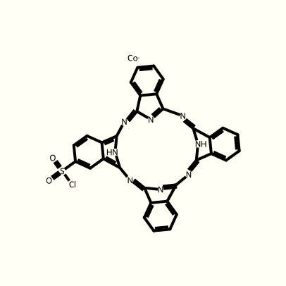 O=S(=O)(Cl)c1ccc2c3nc4nc(nc5[nH]c(nc6nc(nc([nH]3)c2c1)-c1ccccc1-6)c1ccccc51)-c1ccccc1-4.[Co]